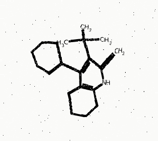 C=C1NC2=C(CCCC2)C(C2CCCCC2)=C1C(C)(C)C